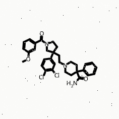 COc1cccc(C(=O)N2CCC(CCN3CCC(C(N)=O)(c4ccccc4)CC3)(c3ccc(Cl)c(Cl)c3)C2)c1